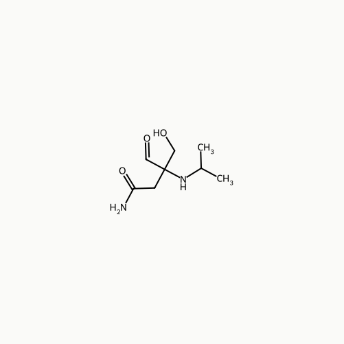 CC(C)NC(C=O)(CO)CC(N)=O